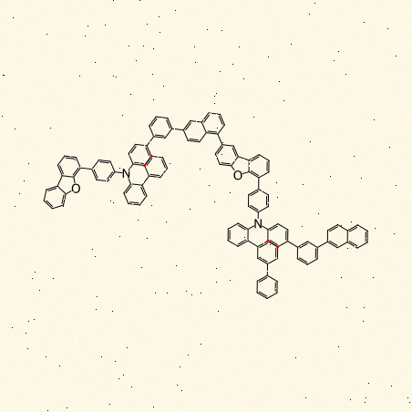 c1ccc(-c2cccc(-c3ccccc3N(c3ccc(-c4cccc(-c5ccc6ccccc6c5)c4)cc3)c3ccc(-c4cccc5c4oc4ccc(-c6cccc7cc(-c8cccc(-c9ccc(N(c%10ccc(-c%11cccc%12c%11oc%11ccccc%11%12)cc%10)c%10ccccc%10-c%10ccccc%10)cc9)c8)ccc67)cc45)cc3)c2)cc1